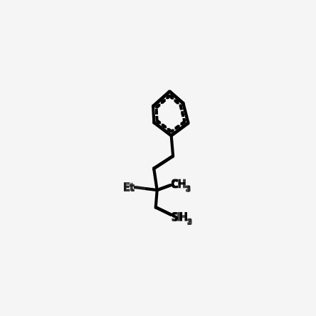 CCC(C)(C[SiH3])CCc1ccccc1